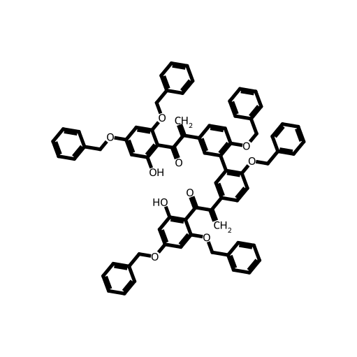 C=C(C(=O)c1c(O)cc(OCc2ccccc2)cc1OCc1ccccc1)c1ccc(OCc2ccccc2)c(-c2cc(C(=C)C(=O)c3c(O)cc(OCc4ccccc4)cc3OCc3ccccc3)ccc2OCc2ccccc2)c1